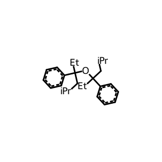 CCC(CC(C)C)(OC(CC)(CC(C)C)c1ccccc1)c1ccccc1